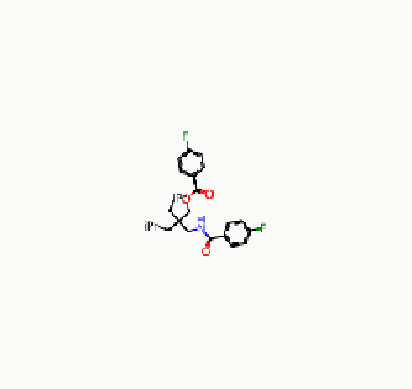 CC(C)CC(CNC(=O)c1ccc(F)cc1)(COC(=O)c1ccc(F)cc1)CC(C)C